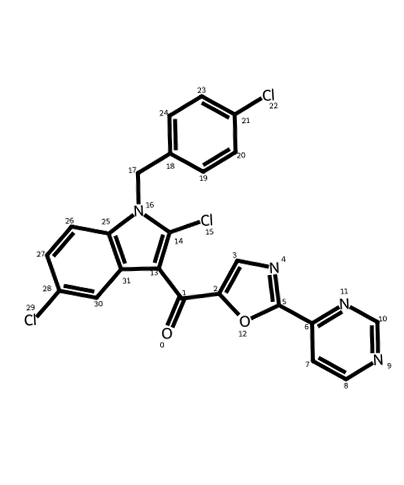 O=C(c1cnc(-c2ccncn2)o1)c1c(Cl)n(Cc2ccc(Cl)cc2)c2ccc(Cl)cc12